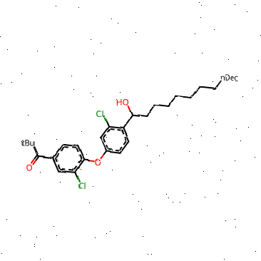 CCCCCCCCCCCCCCCCCC(O)c1ccc(Oc2ccc(C(=O)C(C)(C)C)cc2Cl)cc1Cl